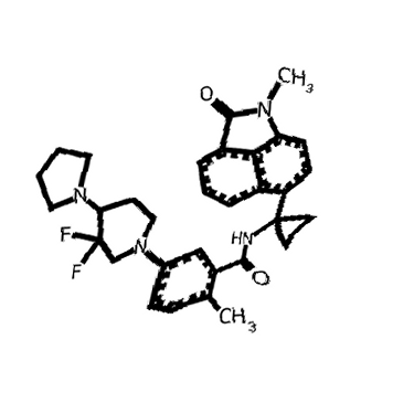 Cc1ccc(N2CCC(N3CCCC3)C(F)(F)C2)cc1C(=O)NC1(c2ccc3c4c(cccc24)C(=O)N3C)CC1